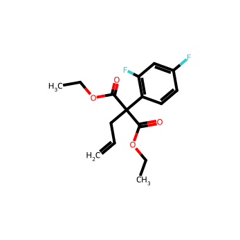 C=CCC(C(=O)OCC)(C(=O)OCC)c1ccc(F)cc1F